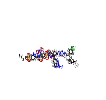 CC1(C)CCC(CN2CCN(c3ccc(C(=O)NS(=O)(=O)c4cc5c(c([N+](=O)[O-])c4)N[C@H](c4ccc(S(C)(=O)=O)cc4)CO5)c(Oc4cnc5[nH]ccc5c4)c3)CC2)=C(c2ccc(Cl)cc2)C1